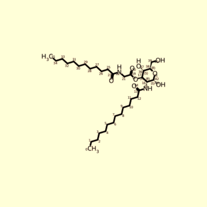 CCCCCCCCCCCCCC(=O)N[C@@H]1[C@@H](OC(=O)CNC(=O)CCCCCCCCCCC)[C@H](O)[C@@H](CO)O[C@@H]1O